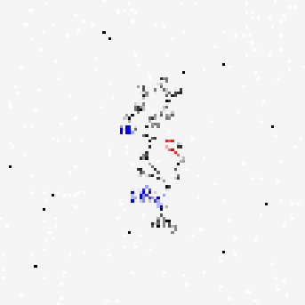 CN1CC2(CCOC(C3NCc4ccccc43)C2)CN1